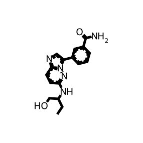 CCC(CO)Nc1ccc2ncc(-c3cccc(C(N)=O)c3)n2n1